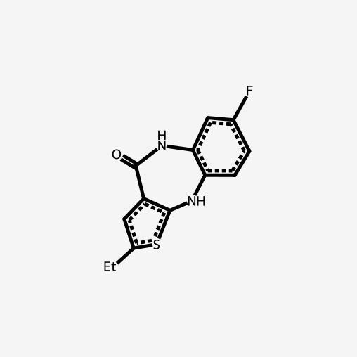 CCc1cc2c(s1)Nc1ccc(F)cc1NC2=O